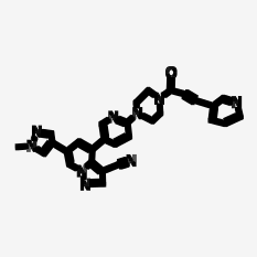 Cn1cc(-c2cc(-c3ccc(N4CCN(C(=O)C#Cc5cccnc5)CC4)nc3)c3c(C#N)cnn3c2)cn1